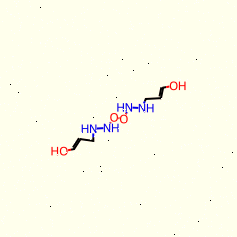 OC=CCNNOONNCC=CO